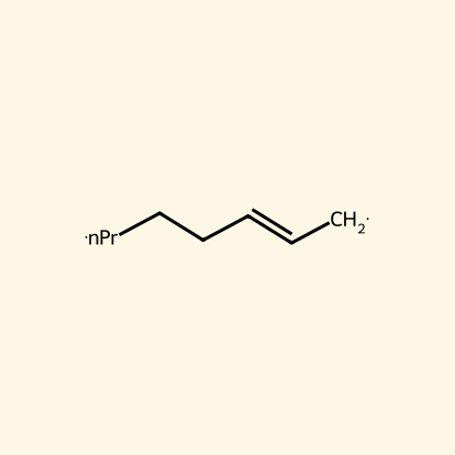 [CH2]C=CCC[CH]CC